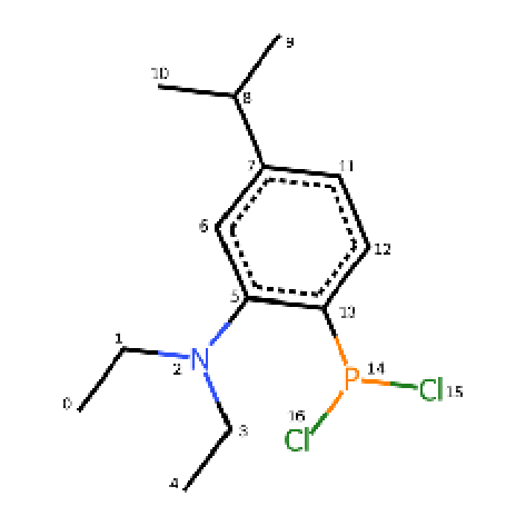 CCN(CC)c1cc(C(C)C)ccc1P(Cl)Cl